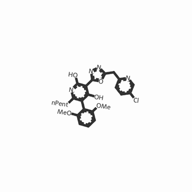 CCCCCc1nc(O)c(-c2nnc(Cc3ccc(Cl)cn3)o2)c(O)c1-c1c(OC)cccc1OC